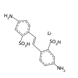 Nc1ccc(C=Cc2ccc(N)cc2S(=O)(=O)O)c(S(=O)(=O)O)c1.[Li]